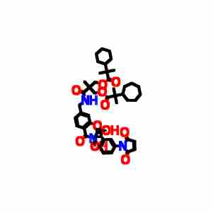 CC(COC(=O)C(C)(C)C1CCCCCC1)(COC(=O)C(C)(C)C1CCCCC1)C(=O)NCc1ccc2c(c1)O[B-](O)(c1cccc(N3C(=O)C=CC3=O)c1)N(O)C2=O